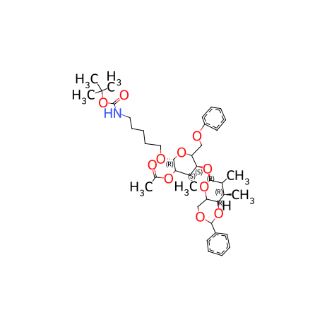 CC(=O)OC1[C@H](OCCCCCNC(=O)OC(C)(C)C)OC(COc2ccccc2)[C@@H](O[C@@H]2OC3COC(c4ccccc4)O[C@@H]3[C@H](C)C2C)[C@@H]1C